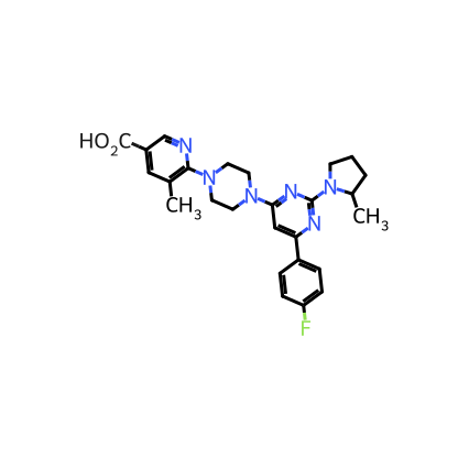 Cc1cc(C(=O)O)cnc1N1CCN(c2cc(-c3ccc(F)cc3)nc(N3CCCC3C)n2)CC1